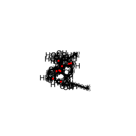 CN[C@H]1C(=O)N[C@@H]2Cc3ccc(cc3)Oc3cc4cc(c3O[C@@H]3O[C@H](C(=O)O)[C@@H](O)[C@H](O)[C@H]3NC(=O)CCCCCCCCC(C)C)Oc3ccc(cc3Cl)[C@@H](O)[C@@H]3NC(=O)[C@H](NC(=O)C4NC(=O)[C@@H](NC2=O)c2cc(cc(O)c2Cl)Oc2ccc1cc2O)c1ccc(O)c(c1)-c1c(O[C@H]2C[C@H](CO)[C@@H](O)[C@H](O)[C@@H]2O)cc(O)cc1[C@@H](C(=O)NCCCN(C)C)NC3=O